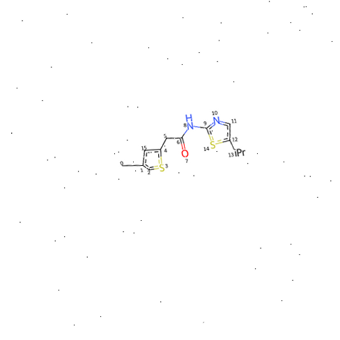 Cc1csc(CC(=O)Nc2ncc(C(C)C)s2)c1